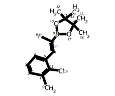 Cc1cccc(/C=C(\F)B2OC(C)(C)C(C)(C)O2)c1Cl